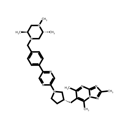 Cc1nc2nc(C)c(C[C@@H]3CCN(c4cnc(-c5ccc(CN6C[C@@H](C)N(C)C[C@@H]6C)cc5)cn4)C3)c(C)n2n1